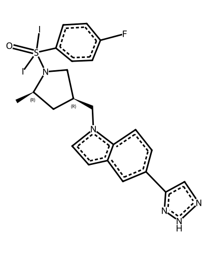 C[C@@H]1C[C@H](Cn2ccc3cc(-c4cn[nH]n4)ccc32)CN1S(=O)(I)(I)c1ccc(F)cc1